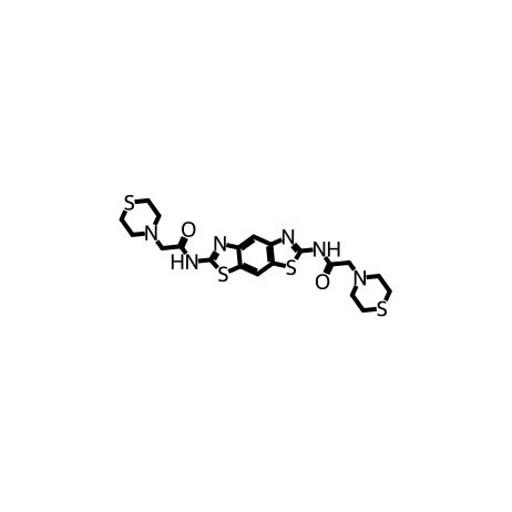 O=C(CN1CCSCC1)Nc1nc2cc3nc(NC(=O)CN4CCSCC4)sc3cc2s1